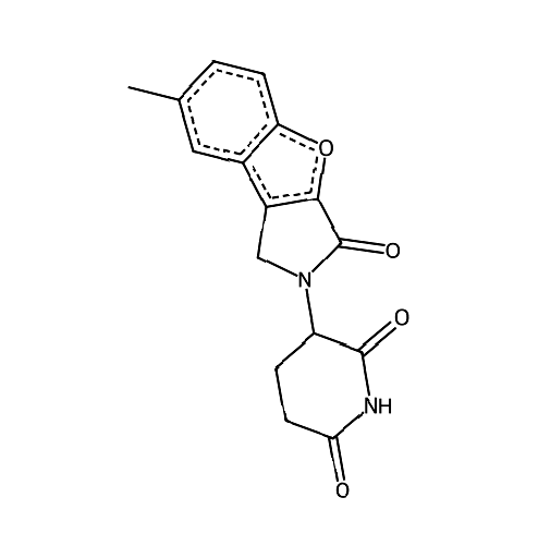 Cc1ccc2oc3c(c2c1)CN(C1CCC(=O)NC1=O)C3=O